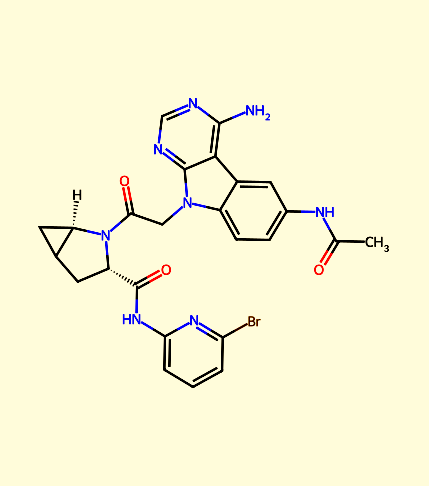 CC(=O)Nc1ccc2c(c1)c1c(N)ncnc1n2CC(=O)N1[C@@H]2CC2C[C@H]1C(=O)Nc1cccc(Br)n1